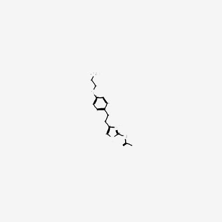 CC(=O)Nc1nc(CCc2ccc(NCCN)cc2)cs1